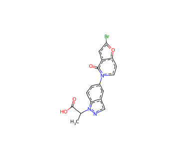 CC(C(=O)O)n1ncc2cc(-n3ccc4oc(Br)cc4c3=O)ccc21